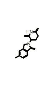 C=C1CCC(N2Cc3cc(C)ccc3C2=C)C(=C)N1